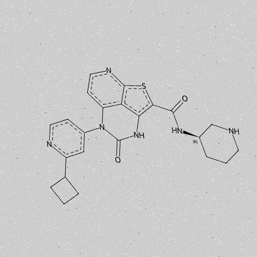 O=C(N[C@@H]1CCCNC1)c1sc2nccc3c2c1NC(=O)N3c1ccnc(C2CCC2)c1